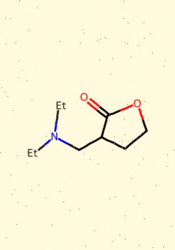 CCN(CC)CC1CCOC1=O